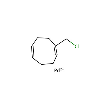 ClCC1=CCCC=CCC1.[Pd+2]